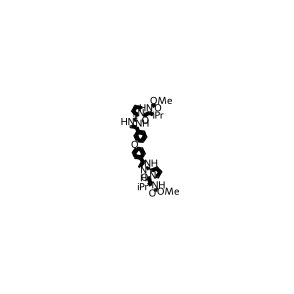 COC(=O)NC(C(=O)N1CCC[C@H]1C1NCC(c2ccc(Oc3cccc(C4CNC([C@@H]5CCCN5C(=O)C(NC(=O)OC)C(C)C)N4)c3)cc2)N1)C(C)C